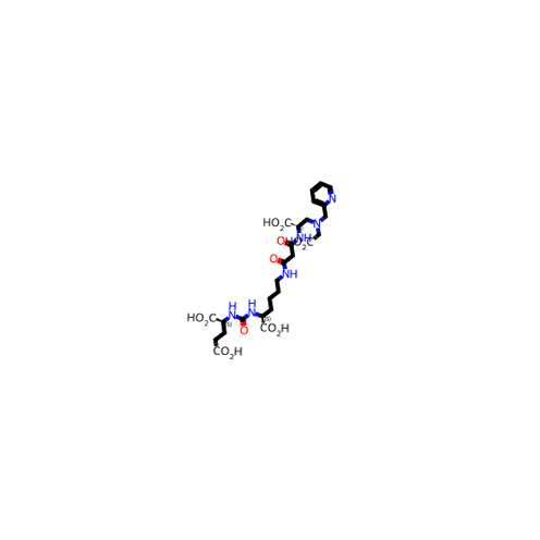 O=C(O)CC[C@H](NC(=O)N[C@@H](CCCCNC(=O)CC(=O)N[C@@H](CN(CC(=O)O)Cc1ccccn1)C(=O)O)C(=O)O)C(=O)O